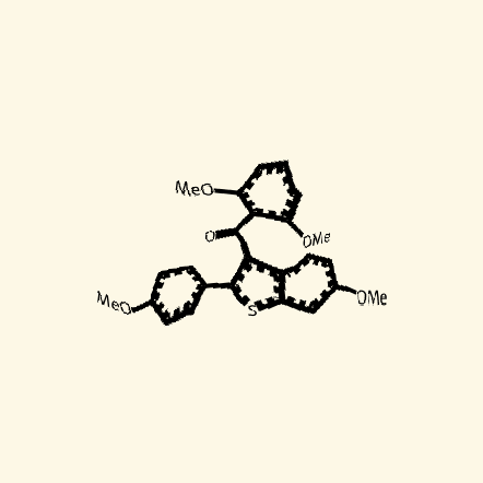 COc1ccc(-c2sc3cc(OC)ccc3c2C(=O)c2c(OC)cccc2OC)cc1